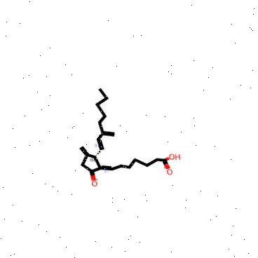 C=C(/C=C/[C@H]1C(=C)CC(=O)/C1=C/CCCCCC(=O)O)CCCCC